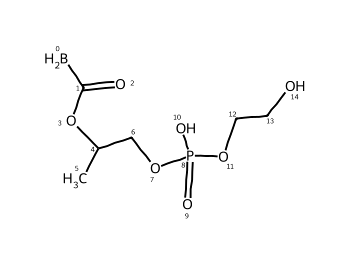 BC(=O)OC(C)COP(=O)(O)OCCO